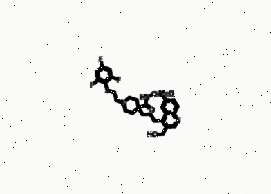 COc1ccc2ncc(CO)c(CCCC3(C(=O)NO)CCN(CCSc4c(F)cc(F)cc4F)CC3)c2c1